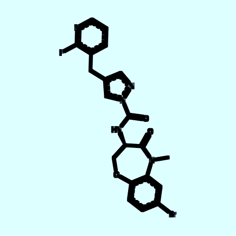 CN1C(=O)[C@H](NC(=O)n2cc(Cc3cccnc3F)cn2)COc2ccc(Br)cc21